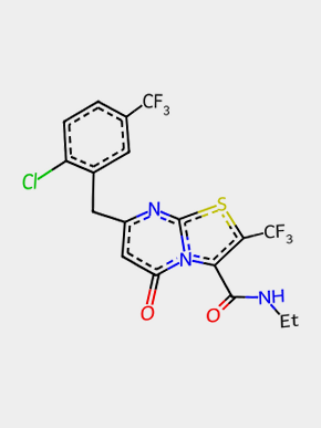 CCNC(=O)c1c(C(F)(F)F)sc2nc(Cc3cc(C(F)(F)F)ccc3Cl)cc(=O)n12